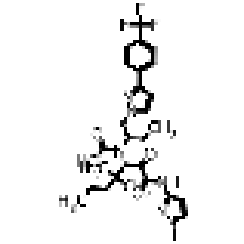 CCCC(C)(C)[C@@H](C(=O)C(=O)Nc1cc[nH]n1)N(C(=O)O)[C@H](CC)Cn1ccc(-c2ccc(C(F)(F)F)cc2)n1